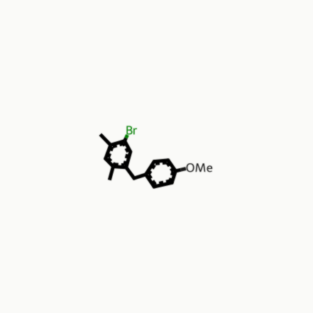 COc1ccc(Cc2cc(Br)c(C)cc2C)cc1